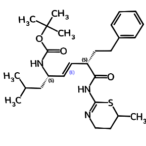 CC(C)C[C@@H](/C=C/[C@H](CCc1ccccc1)C(=O)NC1=NCCC(C)S1)NC(=O)OC(C)(C)C